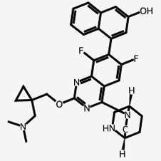 CN(C)CC1(COc2nc(N3C[C@@H]4CC[C@H]3CN4)c3cc(F)c(-c4cc(O)cc5ccccc45)c(F)c3n2)CC1